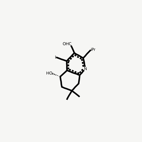 CC(C)c1nc2c(c(I)c1C=O)[C@@H](O)CC(C)(C)C2